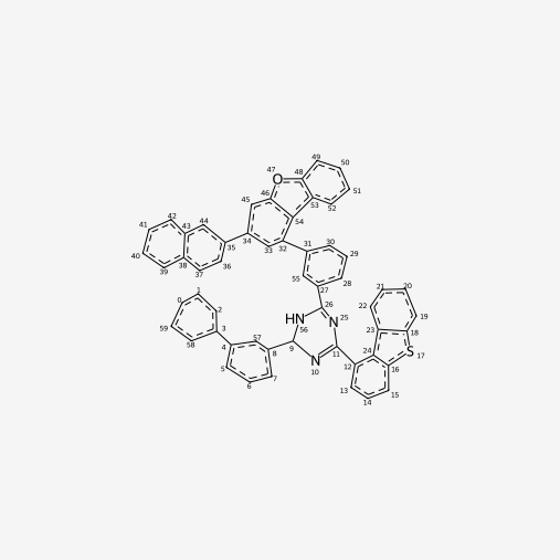 c1ccc(-c2cccc(C3N=C(c4cccc5sc6ccccc6c45)N=C(c4cccc(-c5cc(-c6ccc7ccccc7c6)cc6oc7ccccc7c56)c4)N3)c2)cc1